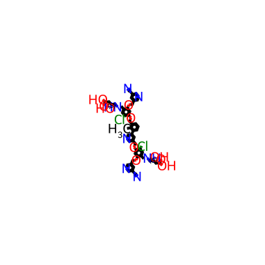 Cc1c(COc2cc(OCc3cncc(C#N)c3)c(CNC[C@@H](O)CC(=O)O)cc2Cl)cccc1-c1cncc(COc2cc(OCc3cncc(C#N)c3)c(CNC[C@@H](O)CC(=O)O)cc2Cl)c1